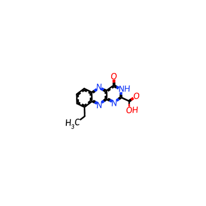 CCc1cccc2nc3c(=O)[nH]c(C(=O)O)nc3nc12